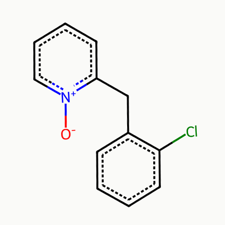 [O-][n+]1ccccc1Cc1ccccc1Cl